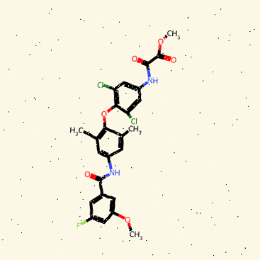 COC(=O)C(=O)Nc1cc(Cl)c(Oc2c(C)cc(NC(=O)c3cc(F)cc(OC)c3)cc2C)c(Cl)c1